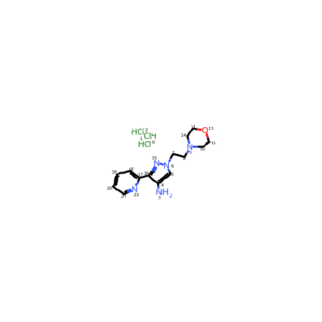 Cl.Cl.Cl.Nc1cn(CCN2CCOCC2)nc1-c1ccccn1